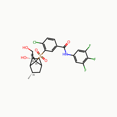 C[C@H]1CC2C[C@](O)(CO)C1[C@@H]2S(=O)(=O)c1cc(C(=O)Nc2cc(F)c(F)c(F)c2)ccc1Cl